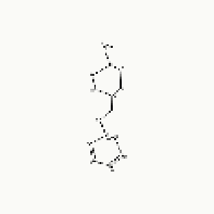 CCCC1CCC(CCc2ccncc2)CC1